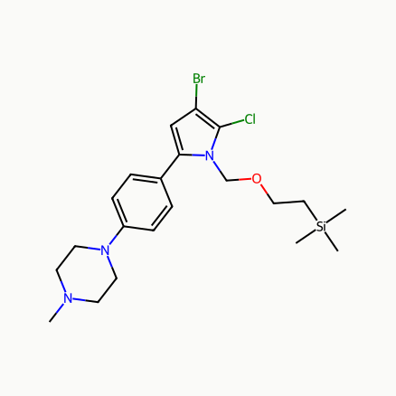 CN1CCN(c2ccc(-c3cc(Br)c(Cl)n3COCC[Si](C)(C)C)cc2)CC1